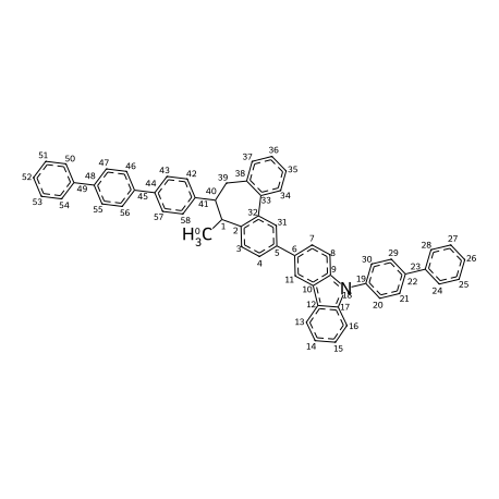 CC1c2ccc(-c3ccc4c(c3)c3ccccc3n4-c3ccc(-c4ccccc4)cc3)cc2-c2ccccc2CC1c1ccc(-c2ccc(-c3ccccc3)cc2)cc1